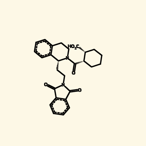 O=C(O)[C@@H]1CCCC[C@@H]1C(=O)N1CCc2ccccc2[C@H]1CCN1C(=O)c2ccccc2C1=O